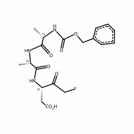 C[C@H](NC(=O)OCc1ccccc1)C(=O)N[C@@H](C)C(=O)N[C@@H](CC(=O)O)C(=O)CF